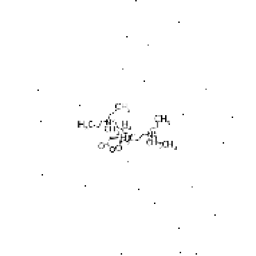 CCC[N+](C)(CCC)CCC.CCC[N+](C)(CCC)CCC.O=C([O-])/C=C\C(=O)[O-]